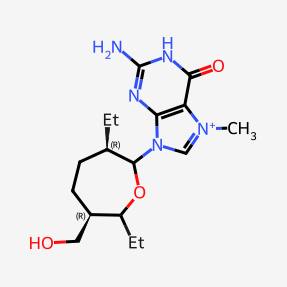 CCC1OC(n2c[n+](C)c3c(=O)[nH]c(N)nc32)[C@H](CC)CC[C@@H]1CO